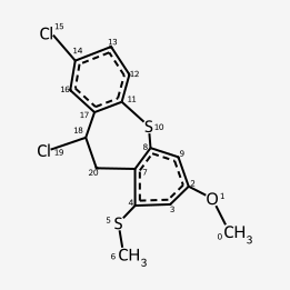 COc1cc(SC)c2c(c1)Sc1ccc(Cl)cc1C(Cl)C2